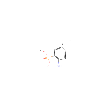 CCOP(=O)(OCC)c1cc(C(=O)O)ccc1N